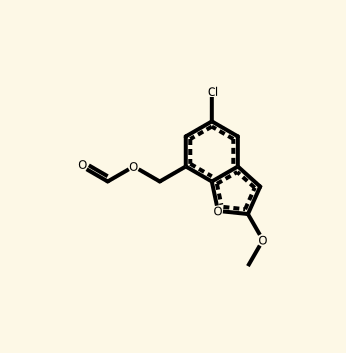 COc1cc2cc(Cl)cc(COC=O)c2o1